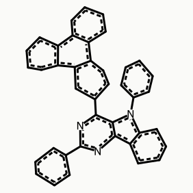 c1ccc(-c2nc(-c3ccc4c5ccccc5c5ccccc5c4c3)c3c(n2)c2ccccc2n3-c2ccccc2)cc1